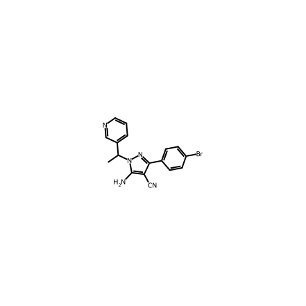 CC(c1cccnc1)n1nc(-c2ccc(Br)cc2)c(C#N)c1N